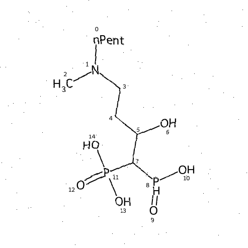 CCCCCN(C)CCC(O)C([PH](=O)O)P(=O)(O)O